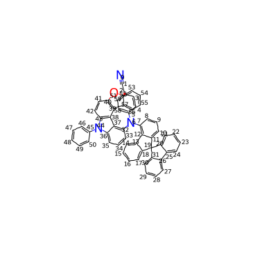 N#Cc1ccc(N(c2cccc3c2-c2ccccc2C32c3ccccc3-c3ccccc32)c2cccc3c2c2c4c(ccc2n3-c2ccccc2)oc2ccccc24)cc1